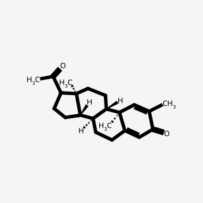 CC(=O)[C]1CC[C@H]2[C@@H]3CCC4=CC(=O)C(C)=C[C@]4(C)[C@H]3CC[C@]12C